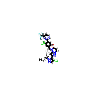 CC(C)n1ncc(Cl)c1-c1cc2n(n1)CCC(=O)N2Cc1ccc(-c2nccc(C(F)(F)F)n2)c(Cl)c1